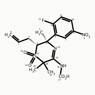 C=CC[C@@H]1[C@@](C)(c2cc([N+](=O)[O-])ccc2F)N=C(NC(=O)O)C(C)(C)S1(=O)=O